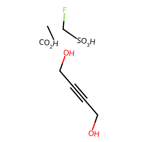 CC(=O)O.O=S(=O)(O)CF.OCC#CCO